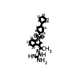 CC(=NNC(=N)N)c1cn(S(=O)(=O)c2ccc(-c3ccccc3)cc2)c2ccccc12